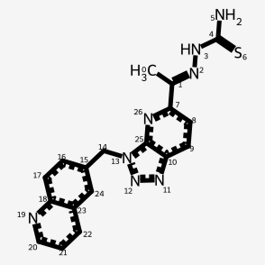 C/C(=N\NC(N)=S)c1ccc2nnn(Cc3ccc4ncccc4c3)c2n1